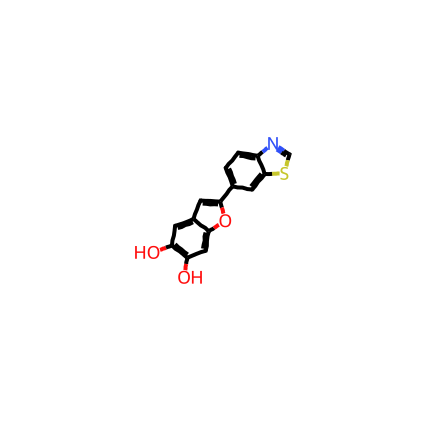 Oc1cc2cc(-c3ccc4ncsc4c3)oc2cc1O